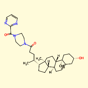 CC(CCC(=O)N1CCN(C(=O)c2ncccn2)CC1)[C@H]1CC[C@H]2[C@@H]3CC=C4C[C@@H](O)CC[C@]4(C)[C@H]3CC[C@]12C